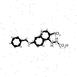 O=C(O)NNc1c([N+](=O)[O-])cnc2cc(OCc3ccccc3)ccc12